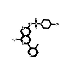 Cc1ccncc1-c1cc2cc(NS(=O)(=O)N3CCC(C#N)CC3)ncc2c(N)n1